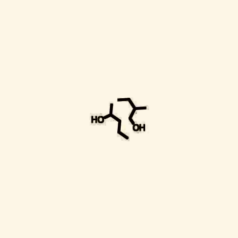 CCC(C)CO.CCCC(C)O